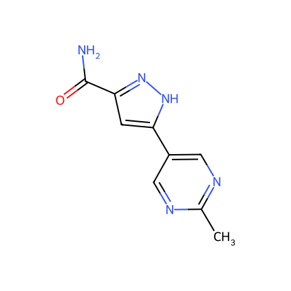 Cc1ncc(-c2cc(C(N)=O)n[nH]2)cn1